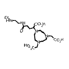 CCNCCNC(=O)CCC(C(=O)O)N1CCN(CC(=O)O)CCN(CC(=O)O)CC1